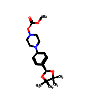 CC(C)(C)OC(=O)ON1CCN(c2ccc(B3OC(C)(C)C(C)(C)O3)cc2)CC1